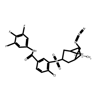 C[C@H]1CC2CC(S(=O)(=O)c3cc(C(=O)Nc4cc(F)c(F)c(F)c4)ccc3Cl)CC1[C@@]2(O)CN=[N+]=[N-]